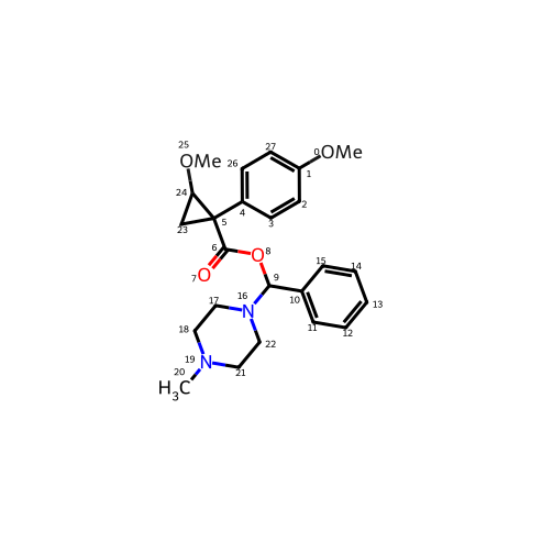 COc1ccc(C2(C(=O)OC(c3ccccc3)N3CCN(C)CC3)CC2OC)cc1